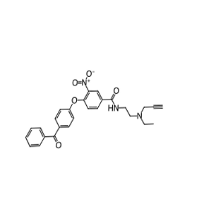 C#CCN(CC)CCNC(=O)c1ccc(Oc2ccc(C(=O)c3ccccc3)cc2)c([N+](=O)[O-])c1